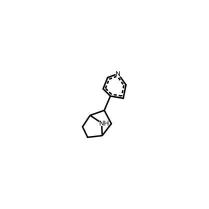 c1cc(C2CC3CCC2N3)ccn1